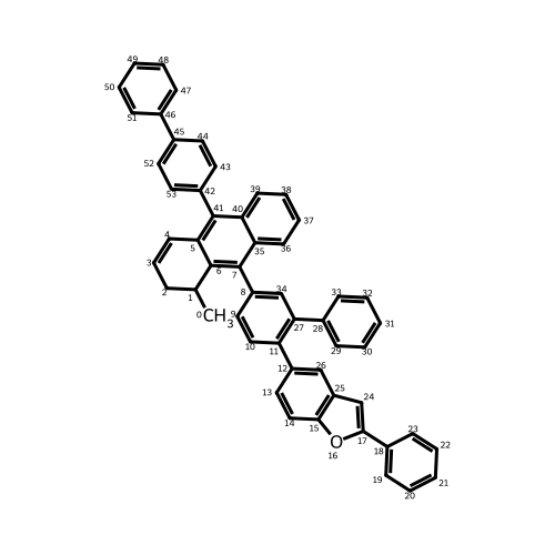 CC1CC=Cc2c1c(-c1ccc(-c3ccc4oc(-c5ccccc5)cc4c3)c(-c3ccccc3)c1)c1ccccc1c2-c1ccc(-c2ccccc2)cc1